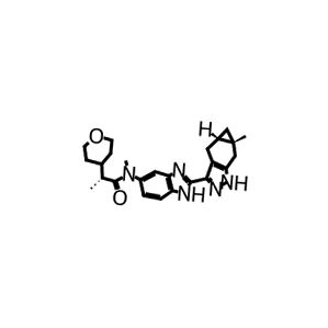 C[C@@H](C(=O)N(C)c1ccc2[nH]c(-c3n[nH]c4c3C[C@@H]3C[C@]3(C)C4)nc2c1)C1CCOCC1